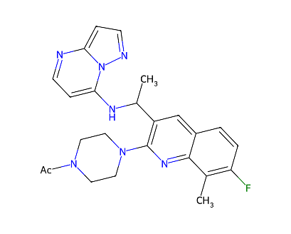 CC(=O)N1CCN(c2nc3c(C)c(F)ccc3cc2C(C)Nc2ccnc3ccnn23)CC1